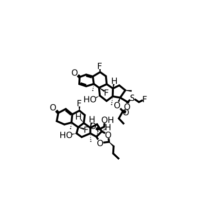 CCC(=O)O[C@]1(C(=O)SCF)[C@H](C)C[C@H]2C3C[C@H](F)C4=CC(=O)C=C[C@]4(C)[C@@]3(F)[C@@H](O)C[C@@]21C.CCC[C@@H]1O[C@@H]2C[C@H]3[C@@H]4C[C@H](F)C5=CC(=O)CC[C@]5(C)[C@@]4(F)[C@@H](O)C[C@]3(C)[C@]2(C(=O)CO)O1